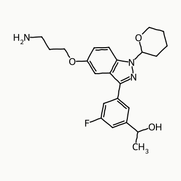 CC(O)c1cc(F)cc(-c2nn(C3CCCCO3)c3ccc(OCCCN)cc23)c1